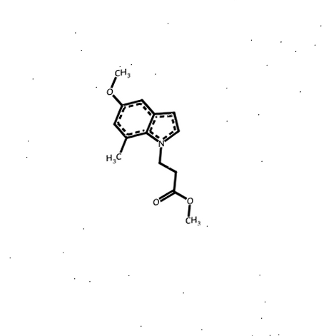 COC(=O)CCn1ccc2cc(OC)cc(C)c21